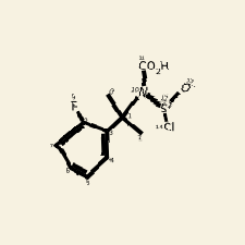 CC(C)(c1ccccc1F)N(C(=O)O)[S+]([O-])Cl